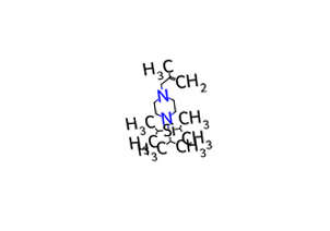 C=C(C)CN1CCN([Si](C(C)C)(C(C)C)C(C)C)CC1